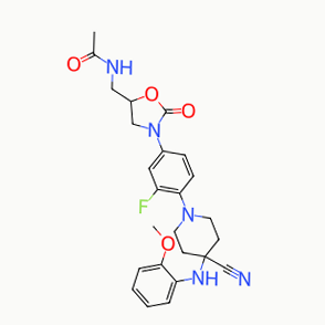 COc1ccccc1NC1(C#N)CCN(c2ccc(N3CC(CNC(C)=O)OC3=O)cc2F)CC1